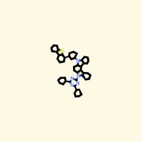 c1ccc(-c2nc(-c3ccccc3)nc(-n3c4ccccc4c4c5c6ccccc6n(-c6cccc(-c7cccc8c7sc7ccccc78)c6)c5ccc43)n2)cc1